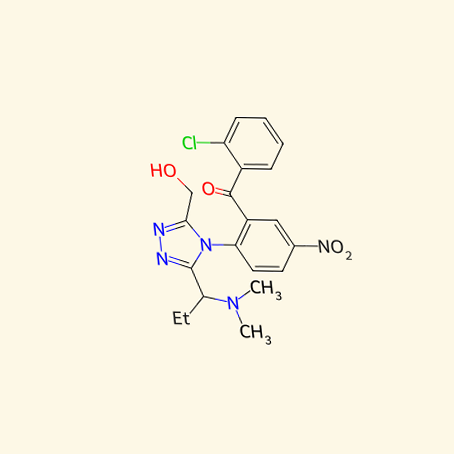 CCC(c1nnc(CO)n1-c1ccc([N+](=O)[O-])cc1C(=O)c1ccccc1Cl)N(C)C